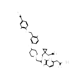 N#CCC1(Cn2c(CN3CCC(Oc4ccc(F)c(COc5ccc(C#N)cc5F)c4)CC3)nc3ccc(CC(=O)O)nc32)CC1